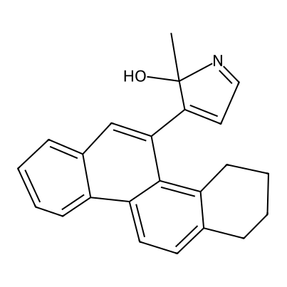 CC1(O)N=CC=C1c1cc2ccccc2c2ccc3c(c12)CCCC3